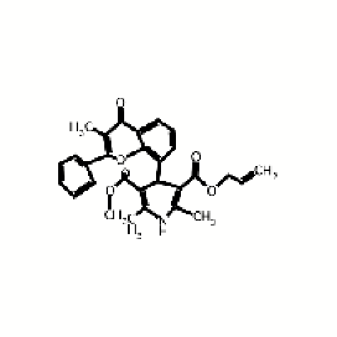 C=CCOC(=O)C1=C(C)NC(C)=C(C(=O)OC)C1c1cccc2c(=O)c(C)c(-c3ccccc3)oc12